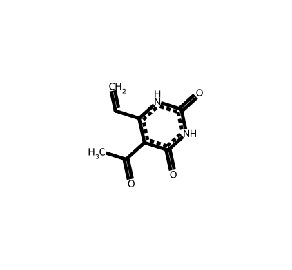 C=Cc1[nH]c(=O)[nH]c(=O)c1C(C)=O